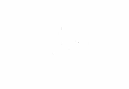 CB(O)N1CCCCC1c1ccccc1